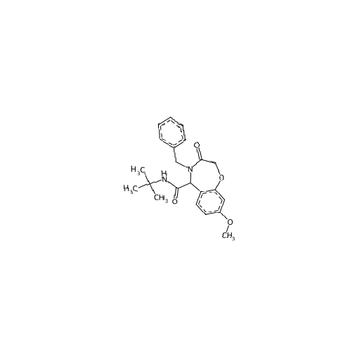 COc1ccc2c(c1)OCC(=O)N(Cc1ccccc1)C2C(=O)NC(C)(C)C